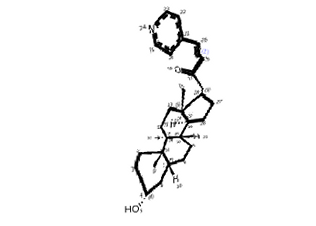 C[C@]12CC[C@@H](O)C[C@H]1CC[C@@H]1[C@@H]2CC[C@]2(C)[C@@H](C(=O)/C=C\c3ccncc3)CC[C@@H]12